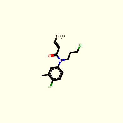 CCOC(=O)/C=C/C(=O)N(CCCCl)c1ccc(Cl)c(C)c1